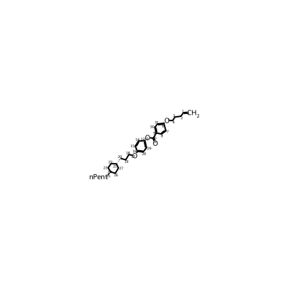 C=CCCCOc1ccc(C(=O)Oc2ccc(OCCC[C@H]3CC[C@H](CCCCC)CC3)cc2)cc1